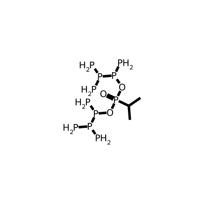 CC(C)P(=O)(OP(P)P(P)P)OP(P)P(P)P